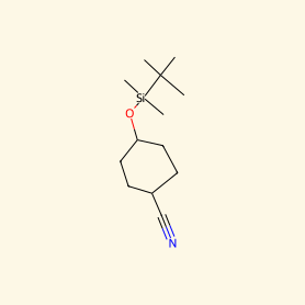 CC(C)(C)[Si](C)(C)OC1CCC(C#N)CC1